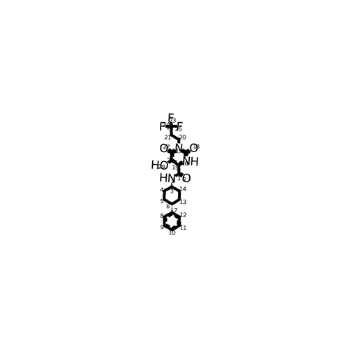 O=C(N[C@H]1CC[C@@H](c2ccccc2)CC1)c1[nH]c(=O)n(CCC(F)(F)F)c(=O)c1O